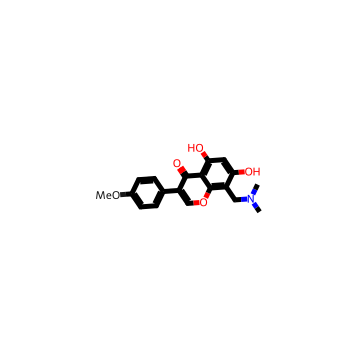 COc1ccc(-c2coc3c(CN(C)C)c(O)cc(O)c3c2=O)cc1